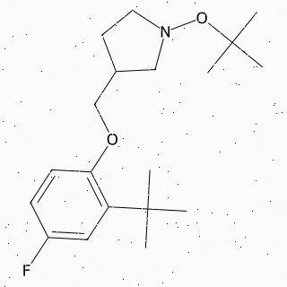 CC(C)(C)ON1CCC(COc2ccc(F)cc2C(C)(C)C)C1